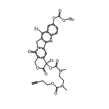 C#CCCOC(=O)N(C)CCN(C)C(=O)OC1(CC)C(=O)OCc2c1cc1n(c2=O)Cc2c-1nc1ccc(OC(=O)OC(C)(C)C)cc1c2CC